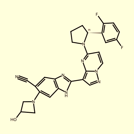 N#Cc1cc2nc(-c3cnn4ccc(N5CCC[C@@H]5c5cc(F)ccc5F)nc34)[nH]c2cc1N1CC(O)C1